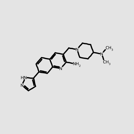 CN(C)C1CCN(Cc2cc3ccc(-c4ccn[nH]4)cc3nc2N)CC1